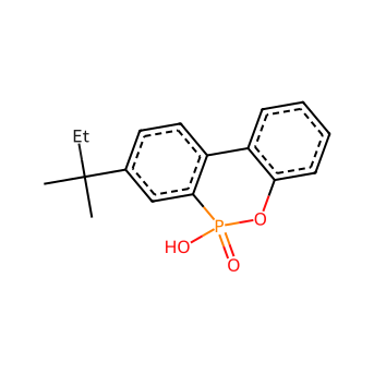 CCC(C)(C)c1ccc2c(c1)P(=O)(O)Oc1ccccc1-2